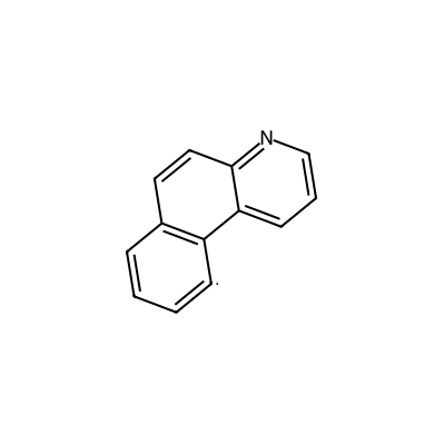 [c]1cccc2ccc3ncccc3c12